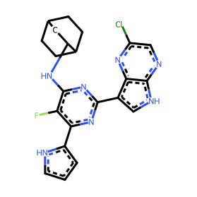 Fc1c(NC2CC3CCC2CC3)nc(-c2c[nH]c3ncc(Cl)nc23)nc1-c1ccc[nH]1